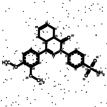 COc1ccc(C2=NN(c3ccc(S(N)(=O)=O)cc3)C(=O)C3CC=CCC23)cc1OC